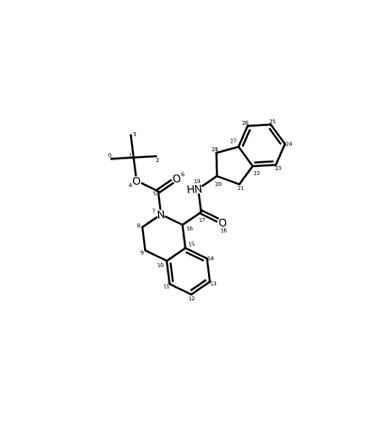 CC(C)(C)OC(=O)N1CCc2ccccc2C1C(=O)NC1Cc2ccccc2C1